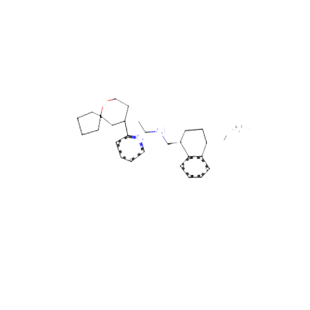 COC[C@H]1CC[C@H](CNCC[C@@]2(c3ccccn3)CCOC3(CCCC3)C2)c2ccccc21